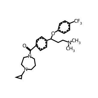 CN(C)CCC(Oc1ccc(C(F)(F)F)cc1)c1ccc(C(=O)N2CCCN(C3CC3)CC2)cc1